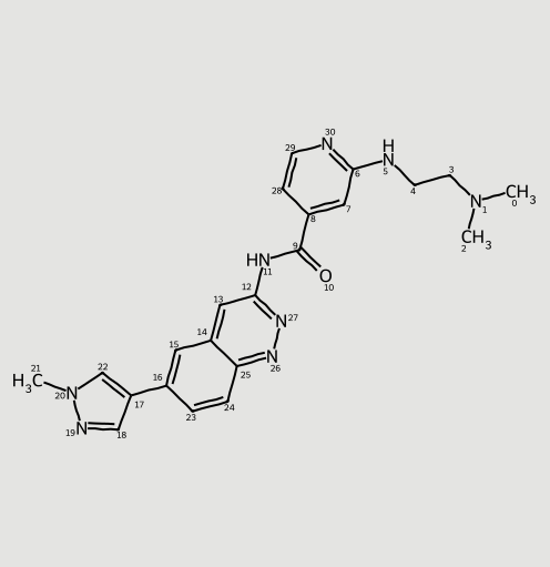 CN(C)CCNc1cc(C(=O)Nc2cc3cc(-c4cnn(C)c4)ccc3nn2)ccn1